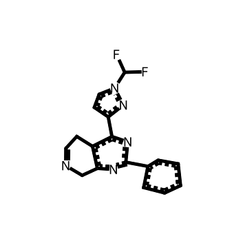 FC(F)n1ccc(-c2nc(-c3ccccc3)nc3c2CC=NC3)n1